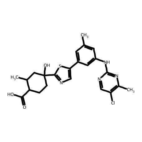 Cc1cc(Nc2ncc(Cl)c(C)n2)cc(-c2cnc(C3(O)CCC(C(=O)O)C(C)C3)s2)c1